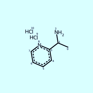 CC(N)c1ccccn1.Cl.Cl